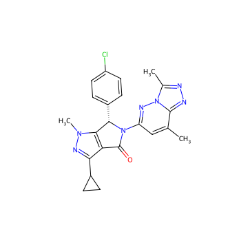 Cc1cc(N2C(=O)c3c(C4CC4)nn(C)c3[C@@H]2c2ccc(Cl)cc2)nn2c(C)nnc12